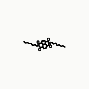 CCCCCCCCN1C(=O)c2ccc3c4c(ccc(c24)C1=O)C(=O)N(CCCCCCCC)C3=O